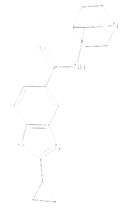 O=C(NC1CN2CCC1CC2)c1ccc2oc(C3CC3)nc2c1